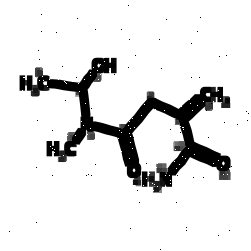 C=C(CC(=O)N(C)C(C)O)C(N)=O